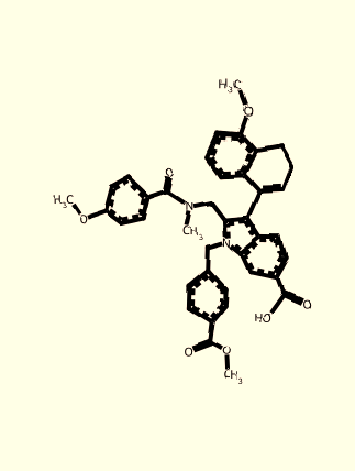 COC(=O)c1ccc(Cn2c(CN(C)C(=O)c3ccc(OC)cc3)c(C3=CCCc4c(OC)cccc43)c3ccc(C(=O)O)cc32)cc1